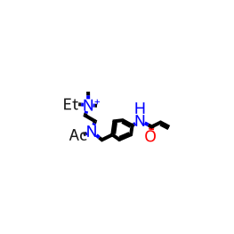 C=CC(=O)Nc1ccc(CN(CC[N+](C)(C)CC)C(C)=O)cc1